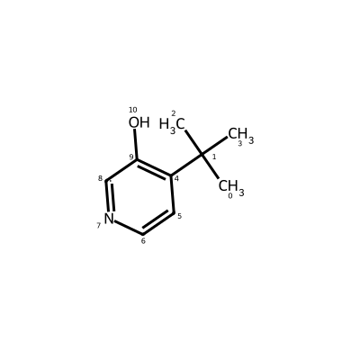 CC(C)(C)c1ccn[c]c1O